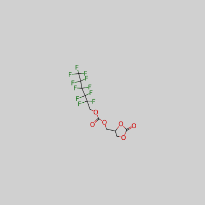 O=C(OCC1COC(=O)O1)OCC(F)(F)C(F)(F)C(F)(F)C(F)(F)C(F)(F)F